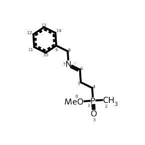 COP(C)(=O)CC/C=N/Cc1ccccc1